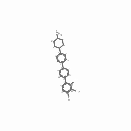 CC1CCC(c2ccc(-c3ccc(-c4ccc(F)c(F)c4F)cc3)cc2)CC1